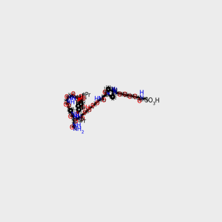 CCCC1O[C@@H]2C[C@H]3[C@@H]4CCC5=CC(=O)C=C[C@]5(C)[C@H]4[C@@H](O)C[C@]3(C)[C@]2(C(=O)COCNC(=O)[C@H](C)NC(=O)[C@H](C)NC(=O)OCc2ccc(NC(=O)[C@H](CCCNC(N)=O)NC(=O)[C@@H](NC(=O)CCOCCOCCOCCOCCNC(=O)CCC(=O)N3Cc4ccccc4-c4c(nnn4CCOCCOCCOCCOCCC(=O)NCCS(=O)(=O)O)-c4ccccc43)C(C)C)cc2)O1